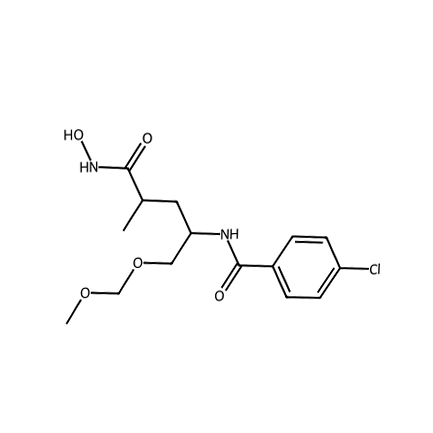 COCOCC(CC(C)C(=O)NO)NC(=O)c1ccc(Cl)cc1